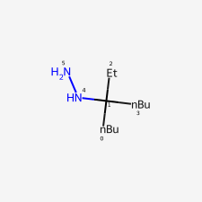 CCCCC(CC)(CCCC)NN